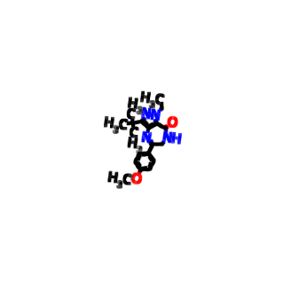 CCn1nc(C(C)(C)C)c2c1C(=O)NCC(c1ccc(OC)cc1)=N2